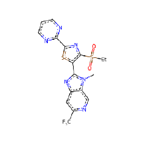 CCS(=O)(=O)c1nc(-c2ncccn2)sc1-c1nc2cc(C(F)(F)F)ncc2n1C